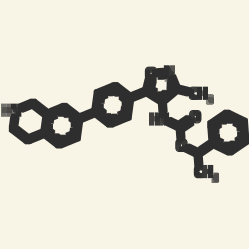 Cc1noc(-c2ccc(-c3ccc4c(c3)CNCC4)cc2)c1NC(=O)OC(C)c1ccccc1